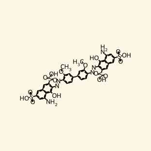 COc1cc(-c2ccc(/N=N/c3c(S(=O)(=O)O)cc4cc(S(=O)(=O)O)cc(N)c4c3O)c(OC)c2)ccc1/N=N/c1c(S(=O)(=O)O)cc2cc(S(=O)(=O)O)cc(N)c2c1O